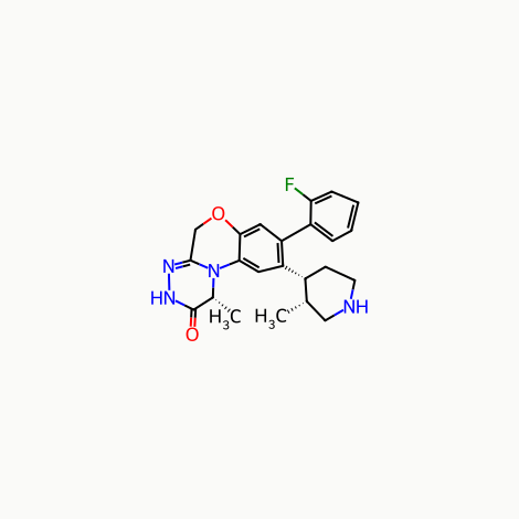 C[C@@H]1C(=O)NN=C2COc3cc(-c4ccccc4F)c([C@@H]4CCNC[C@@H]4C)cc3N21